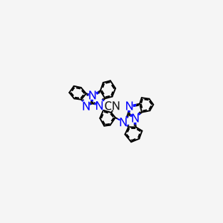 N#Cc1c(-n2c3ccccc3n3c4ccccc4nc23)cccc1-n1c2ccccc2n2c3ccccc3nc12